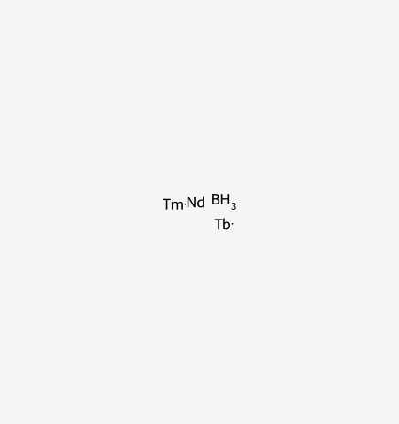 B.[Nd].[Tb].[Tm]